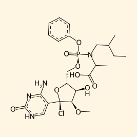 CCC(C)CN(C(C)C(=O)O)[P@@](=O)(OC[C@H]1O[C@@](Cl)(c2c[nH]c(=O)nc2N)[C@H](OC)[C@@H]1O)Oc1ccccc1